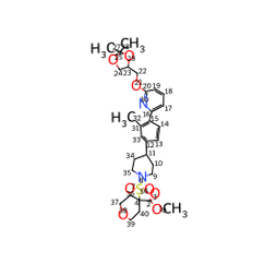 COC(=O)C1(S(=O)(=O)N2CCC(c3ccc(-c4cccc(OCC5COC(C)(C)O5)n4)c(C)c3)CC2)CCOCC1